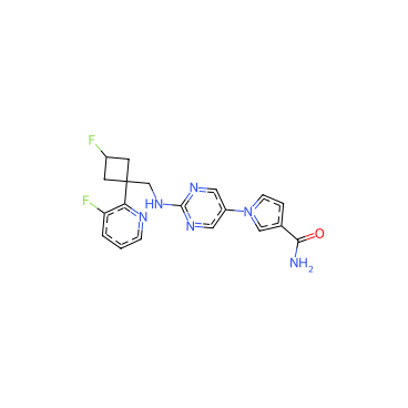 NC(=O)c1ccn(-c2cnc(NCC3(c4ncccc4F)CC(F)C3)nc2)c1